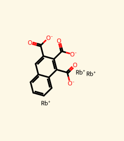 O=C([O-])c1cc2ccccc2c(C(=O)[O-])c1C(=O)[O-].[Rb+].[Rb+].[Rb+]